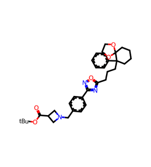 CC(C)(C)OC(=O)C1CN(Cc2ccc(-c3noc(CCCC4(c5ccccc5)CCCCC45OCCO5)n3)cc2)C1